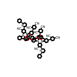 N#Cc1ccc(-c2ccc3c(c2)c2ccccc2n3-c2cc(-c3cccc(-c4ccccc4)n3)c(C#N)cc2-n2c3ccc(-c4ccc(C#N)cc4C#N)cc3c3cc(-c4cccc5c4c4ccc(-c6ccc(C#N)cc6C#N)cc4n5-c4cc(-c5cccc(-c6ccccc6)n5)c(C#N)cc4-n4c5ccccc5c5ccc(-c6ccc(C#N)cc6C#N)cc54)ccc32)c(C#N)c1